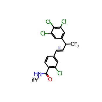 CC(C)NC(=O)c1ccc(/C=C/C(c2cc(Cl)c(Cl)c(Cl)c2)C(F)(F)F)cc1Cl